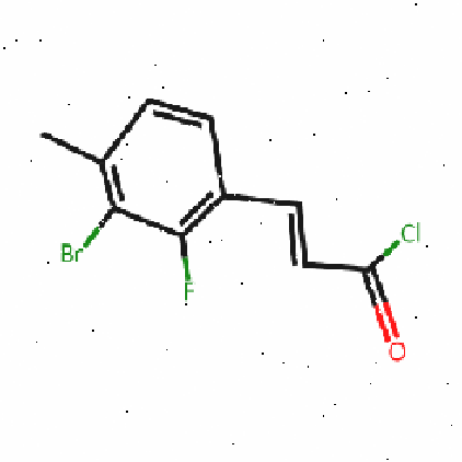 Cc1ccc(/C=C/C(=O)Cl)c(F)c1Br